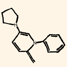 C=C1C=CC(N2CCCC2)=CN1c1ccccc1